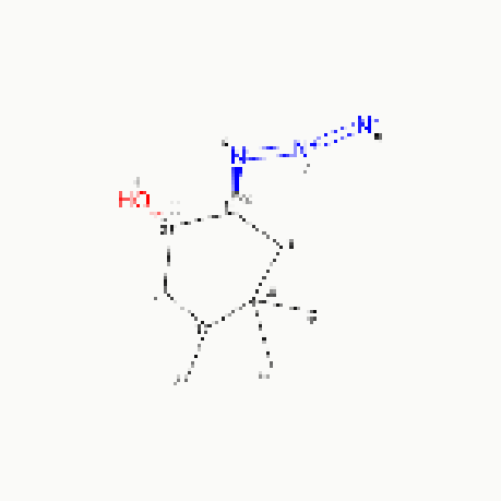 CC1C[C@H](O)[C@@H](N=[N+]=[N-])CC1(C)C